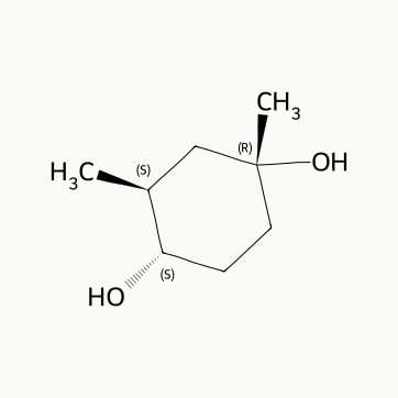 C[C@H]1C[C@](C)(O)CC[C@@H]1O